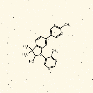 Cc1ncc(-c2ccc3c(c2)N(c2cncnc2C)C(O)C3(C)C)cn1